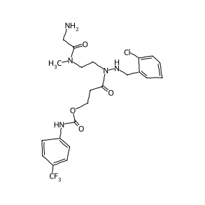 CN(CCN(NCc1ccccc1Cl)C(=O)CCOC(=O)Nc1ccc(C(F)(F)F)cc1)C(=O)CN